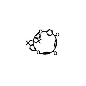 CC1(C)CC23CC(C)(C)c4ccc(cc42)Oc2ccc(cc2)C(=O)c2ccc(cc2)C(=O)c2ccc(cc2)Oc2ccc1c3c2